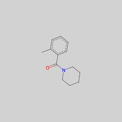 Cc1ccccc1C(=O)N1CC[CH]CC1